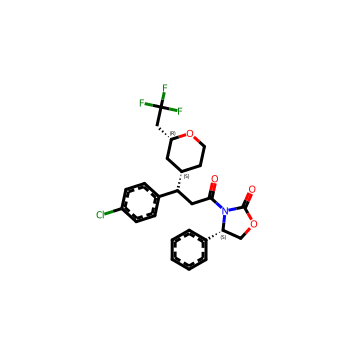 O=C(CC(c1ccc(Cl)cc1)[C@H]1CCO[C@@H](CC(F)(F)F)C1)N1C(=O)OC[C@@H]1c1ccccc1